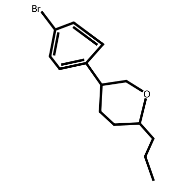 CCCC1CCC(c2ccc(Br)cc2)CO1